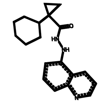 O=C(NNc1cccc2ncccc12)C1(C2CCCCC2)CC1